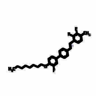 CCCCCCCCOc1ccc(-c2ccc(/C=C/c3ccc(C)c(F)c3F)cc2)cc1F